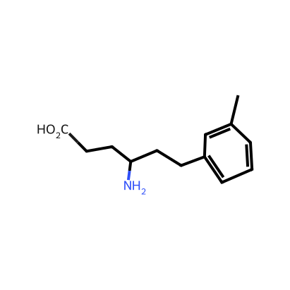 Cc1cccc(CCC(N)CCC(=O)O)c1